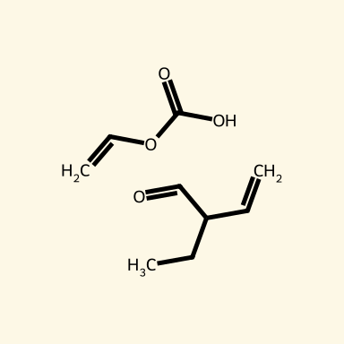 C=CC(C=O)CC.C=COC(=O)O